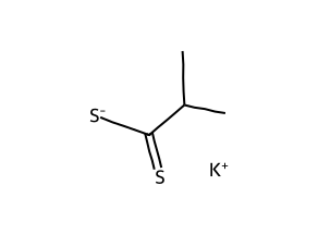 CC(C)C(=S)[S-].[K+]